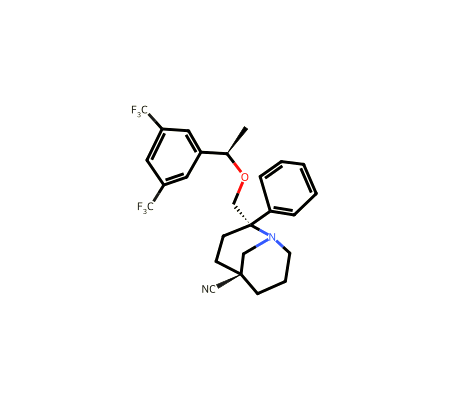 C[C@@H](OC[C@@]1(c2ccccc2)CC[C@@]2(C#N)CCCN1C2)c1cc(C(F)(F)F)cc(C(F)(F)F)c1